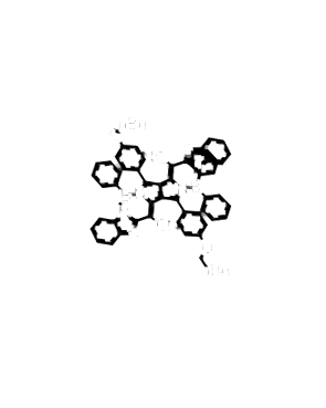 CCCCOc1ccc(-c2c3/c(=C(\C#N)c4nc5ccccc5s4)n(B(c4ccccc4)c4ccccc4)c(-c4ccc(OCC(C)CC)cc4)c3/c(=C(\C#N)c3nc4ccccc4s3)n2B(C)c2ccccc2)cc1